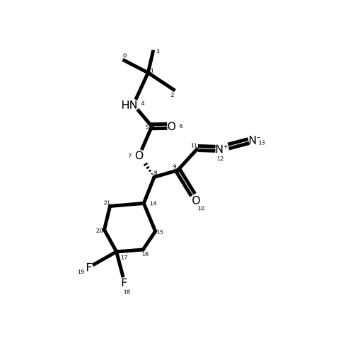 CC(C)(C)NC(=O)O[C@H](C(=O)C=[N+]=[N-])C1CCC(F)(F)CC1